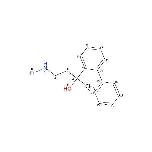 CC(C)NCCC(C)(O)c1ccccc1-c1ccccc1